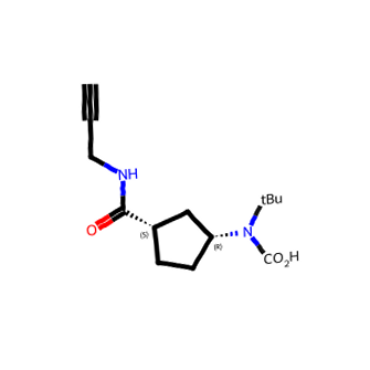 C#CCNC(=O)[C@H]1CC[C@@H](N(C(=O)O)C(C)(C)C)C1